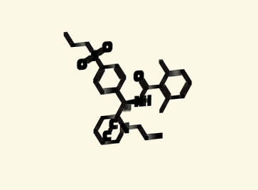 C=CCN1CC2CCC1([C@H](NC(=O)c1c(C)cccc1C)c1ccc(S(=O)(=O)CCC)cc1)CC2